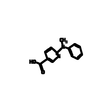 CN(c1ccccc1)c1ccc(C(=O)O)cn1